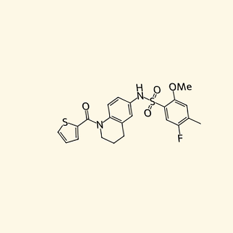 COc1cc(C)c(F)cc1S(=O)(=O)Nc1ccc2c(c1)CCCN2C(=O)c1cccs1